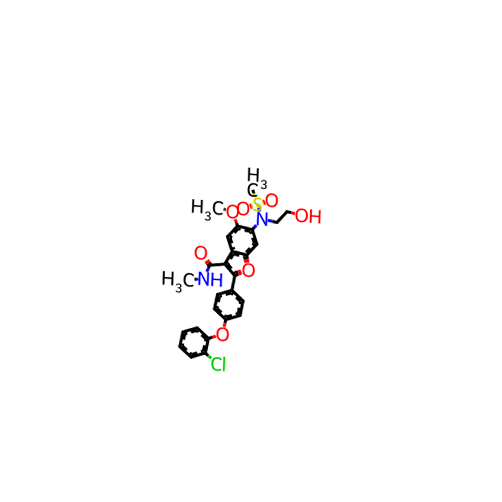 CNC(=O)c1c(-c2ccc(Oc3ccccc3Cl)cc2)oc2cc(N(CCO)S(C)(=O)=O)c(OC)cc12